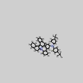 CC(C)(C)c1ccc(N(c2ccc(C(C)(C)C)cc2)c2cccc(-c3ccccc3-n3c4ccc5ccccc5c4c4c5ccccc5ccc43)c2)cc1